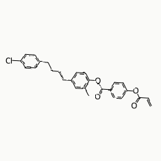 C=CC(=O)Oc1ccc(C(=O)Oc2ccc(/C=C/CCc3ccc(Cl)cc3)cc2C)cc1